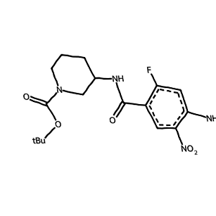 CC(C)(C)OC(=O)N1CCCC(NC(=O)c2cc([N+](=O)[O-])c(N)cc2F)C1